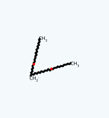 [CH2]CC(CCCCCCCCCCCCCCCCCCCCCC)CCCCCCCCCCCCCCCCCCCCCCCCC